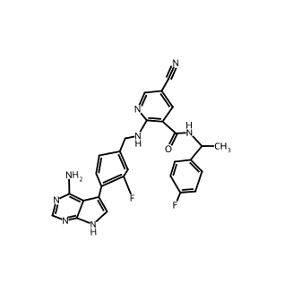 CC(NC(=O)c1cc(C#N)cnc1NCc1ccc(-c2c[nH]c3ncnc(N)c23)c(F)c1)c1ccc(F)cc1